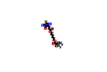 C=C(C)C(=O)OCCCCCCOC(=O)CCC1NC(=S)NC1=O